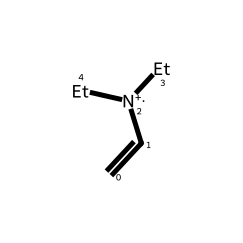 C=C[N+](CC)CC